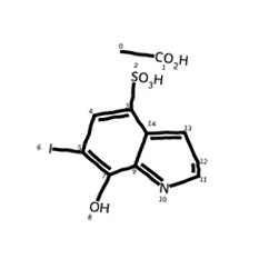 CC(=O)O.O=S(=O)(O)c1cc(I)c(O)c2ncccc12